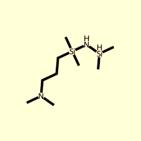 CN(C)CCC[Si](C)(C)N[SiH](C)C